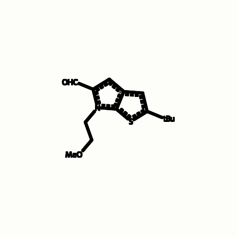 COCCn1c(C=O)cc2cc(C(C)(C)C)sc21